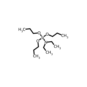 CCCO[Si](OCCC)(OCCC)N(CC)CC